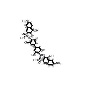 Nc1ccc2c(O)c(/N=N/c3c(Cl)cc(-c4cc(Cl)c(/N=N/c5c(S(=O)(=O)O)cc6ccc(N)cc6c5O)c(Cl)c4)cc3Cl)c(S(=O)(=O)O)cc2c1